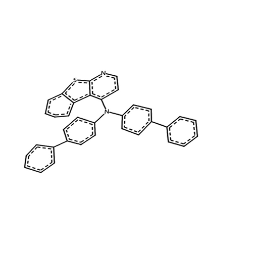 c1ccc(-c2ccc(N(c3ccc(-c4ccccc4)cc3)c3ccnc4sc5ccccc5c34)cc2)cc1